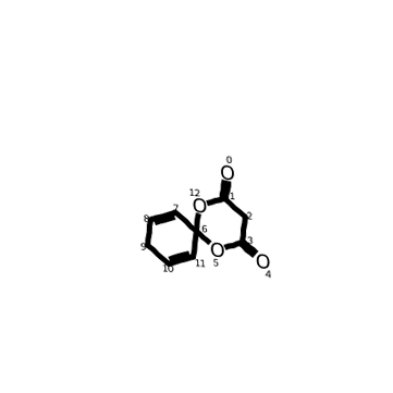 O=C1CC(=O)OC2(C=CCC=C2)O1